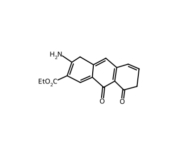 CCOC(=O)C1=C(N)CC2=CC3=C(C(=O)CC=C3)C(=O)C2=C1